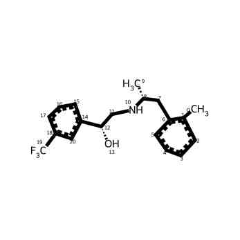 Cc1ccccc1C[C@@H](C)NC[C@H](O)c1cccc(C(F)(F)F)c1